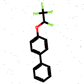 FC(Oc1ccc(-c2ccccc2)cc1)C(F)(F)F